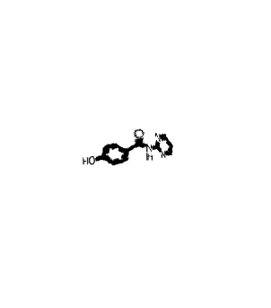 O=C(Nc1ncccn1)c1ccc(O)cc1